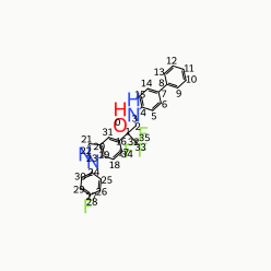 OC(CNc1ccc(-c2ccccc2)cc1)(c1ccc2c(cnn2-c2ccc(F)cc2)c1)C(F)(F)F